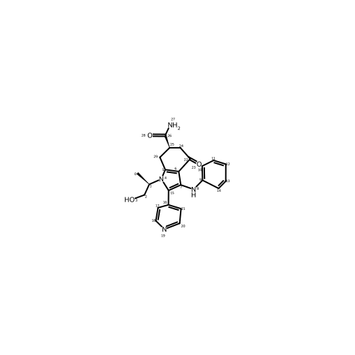 C[C@H](CO)n1c2c(c(Nc3ccccc3)c1-c1ccncc1)C(=O)C[C@H](C(N)=O)C2